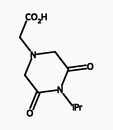 CC(C)N1C(=O)CN(CC(=O)O)CC1=O